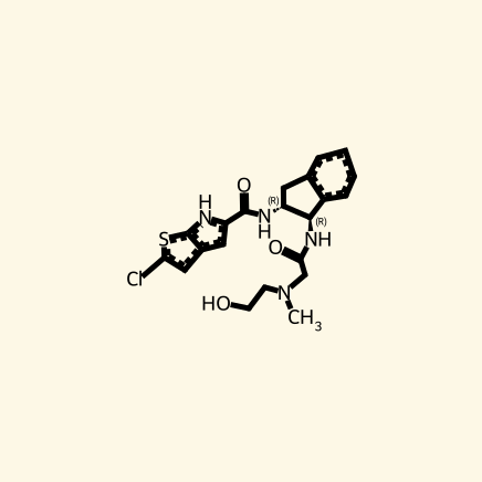 CN(CCO)CC(=O)N[C@@H]1c2ccccc2C[C@H]1NC(=O)c1cc2cc(Cl)sc2[nH]1